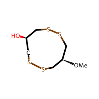 CO[C@H]1CSSC[C@@H](O)CSSC1